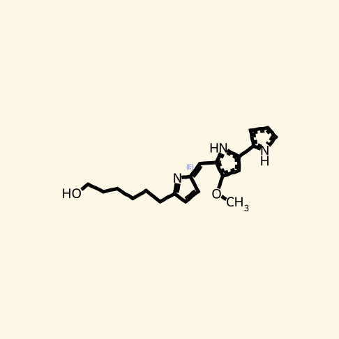 COc1cc(-c2ccc[nH]2)[nH]c1/C=C1\C=CC(CCCCCCO)=N1